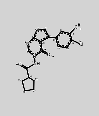 O=C(Nn1cnc2scc(-c3ccc(Cl)c(C(F)(F)F)c3)c2c1=O)C1CCCC1